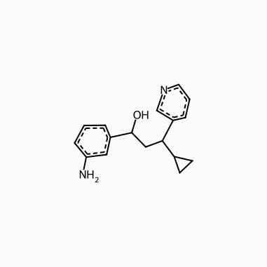 Nc1cccc(C(O)CC(c2cccnc2)C2CC2)c1